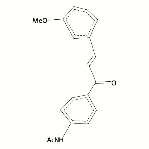 COc1cccc(C=CC(=O)c2ccc(NC(C)=O)cc2)c1